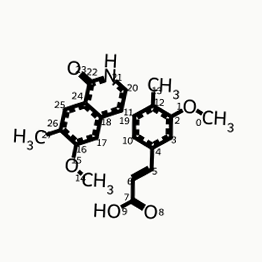 COc1cc(C=CC(=O)O)ccc1C.COc1cc2cc[nH]c(=O)c2cc1C